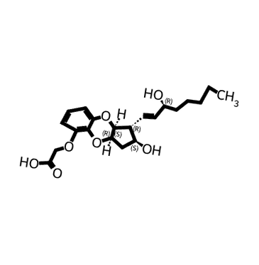 CCCCC[C@@H](O)C=C[C@H]1[C@@H]2Oc3cccc(OCC(=O)O)c3O[C@@H]2C[C@@H]1O